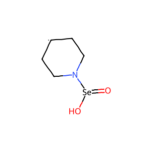 O=[Se](O)N1CC[CH]CC1